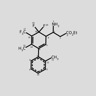 CCOC(=O)CC(N)C1C=C(c2ccccc2C)C(C)=C(C(F)(F)F)C1(F)F